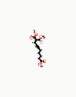 COC(=O)CCCCC#CCC(C(=O)OC)C(=O)OC